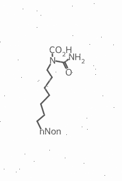 CCCCCCCCCCCCCCCCN(C(N)=O)C(=O)O